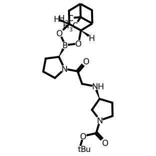 CC(C)(C)OC(=O)N1CC[C@H](NCC(=O)N2CCC[C@H]2B2O[C@@H]3CC4CC([C@@H]3O2)C4(C)C)C1